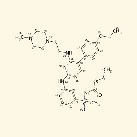 CCOC(=O)N=S(C)(=O)c1cccc(Nc2ncc(-c3ccc(OCC)cc3)c(NCCN3CCN(C)CC3)n2)c1